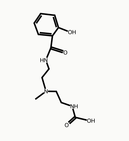 CN(CCNC(=O)O)CCNC(=O)c1ccccc1O